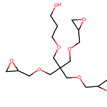 OCCCOCC(COCC1CO1)(COCC1CO1)COCC1CO1